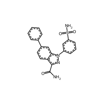 NC(=O)c1nn(-c2cccc(S(N)(=O)=O)c2)c2cc(-c3ccccc3)ccc12